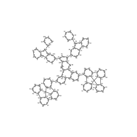 c1ccc(-n2c3ccccc3c3ccc(-c4sc(-c5ccc6c7ccccc7n(-c7ccccc7)c6c5)c5nc6c7cc(-c8cccc9c8-c8ccccc8C98c9ccccc9-c9ccccc98)ccc7c7ccc(-c8cccc9c8-c8ccccc8C98c9ccccc9-c9ccccc98)cc7c6nc45)cc32)cc1